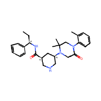 CC[C@@H](NC(=O)[C@@H]1CNC[C@H](N2CC(=O)N(c3ccccc3C)CC2(C)C)C1)c1ccccc1